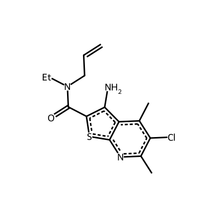 C=CCN(CC)C(=O)c1sc2nc(C)c(Cl)c(C)c2c1N